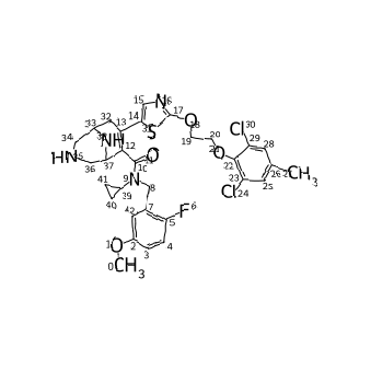 COc1ccc(F)c(CN(C(=O)C2=C(c3cnc(OCCOc4c(Cl)cc(C)cc4Cl)s3)CC3CNCC2N3)C2CC2)c1